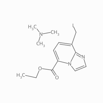 CCOC(=O)c1ccc(CI)c2nccn12.CN(C)C